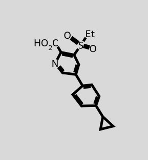 CCS(=O)(=O)c1cc(-c2ccc(C3CC3)cc2)cnc1C(=O)O